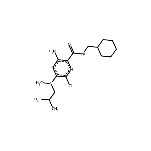 CC(C)CN(C)c1nc(N)c(C(=O)NCC2CCCCC2)nc1Cl